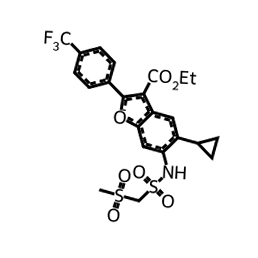 CCOC(=O)c1c(-c2ccc(C(F)(F)F)cc2)oc2cc(NS(=O)(=O)CS(C)(=O)=O)c(C3CC3)cc12